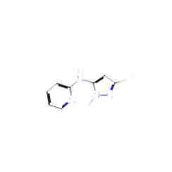 Cn1nc(Cl)cc1Nc1ccccn1